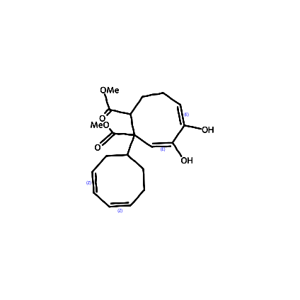 COC(=O)C1CC/C=C(O)\C(O)=C/C1(C(=O)OC)C1C/C=C\C=C/CC1